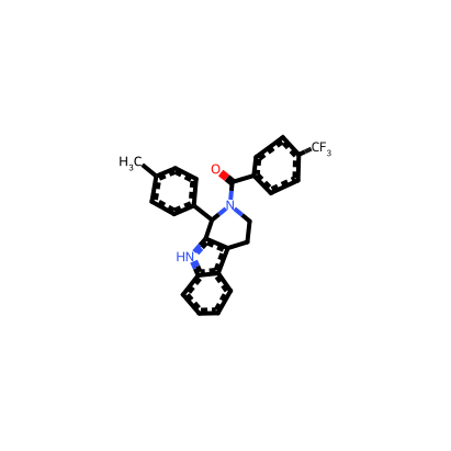 Cc1ccc(C2c3[nH]c4ccccc4c3CCN2C(=O)c2ccc(C(F)(F)F)cc2)cc1